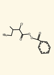 CC(CC(C)(C)C)C(Cl)C(=O)OOC(=O)c1ccccc1